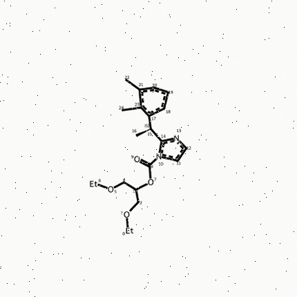 CCOCC(COCC)OC(=O)n1ccnc1[C@@H](C)c1cccc(C)c1C